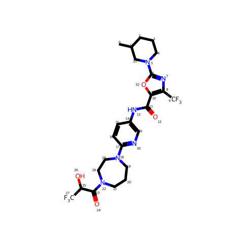 CC1CCCN(c2nc(C(F)(F)F)c(C(=O)Nc3ccc(N4CCCN(C(=O)C(O)C(F)(F)F)CC4)nc3)o2)C1